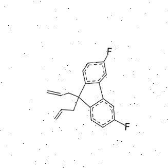 C=CCC1(CC=C)c2ccc(F)cc2-c2cc(F)ccc21